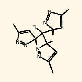 CC1=CC(C)([C]([Ti])(C2(C)C=C(C)N=N2)C2(C)C=C(C)N=N2)N=N1